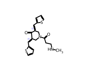 CNCCC(=O)N1C/C(=C\c2cccs2)C(=O)/C(=C/c2cccs2)C1